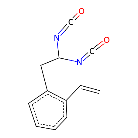 C=Cc1ccccc1CC(N=C=O)N=C=O